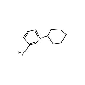 Cc1ccc[n+](C2CCCCC2)c1